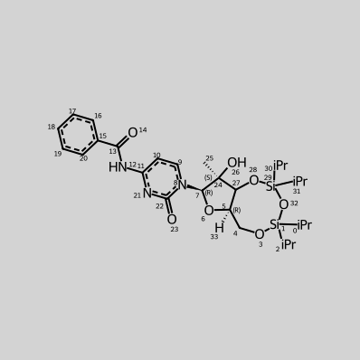 CC(C)[Si]1(C(C)C)OC[C@H]2O[C@@H](n3ccc(NC(=O)c4ccccc4)nc3=O)[C@@](C)(O)C2O[Si](C(C)C)(C(C)C)O1